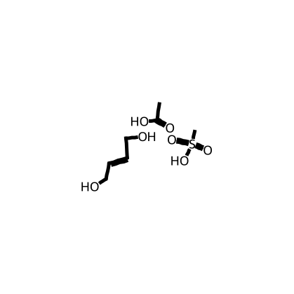 CC(=O)O.CS(=O)(=O)O.OCC=CCO